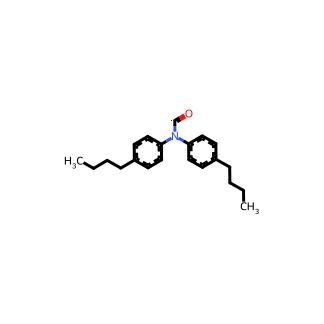 CCCCc1ccc(N([C]=O)c2ccc(CCCC)cc2)cc1